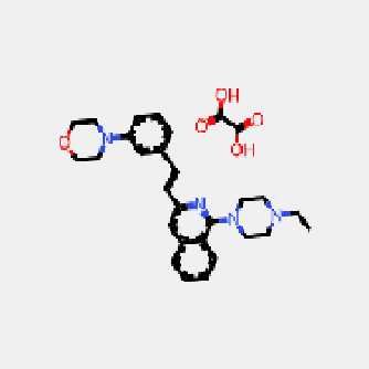 CCN1CCN(c2nc(/C=C/c3cccc(N4CCOCC4)c3)cc3ccccc23)CC1.O=C(O)C(=O)O